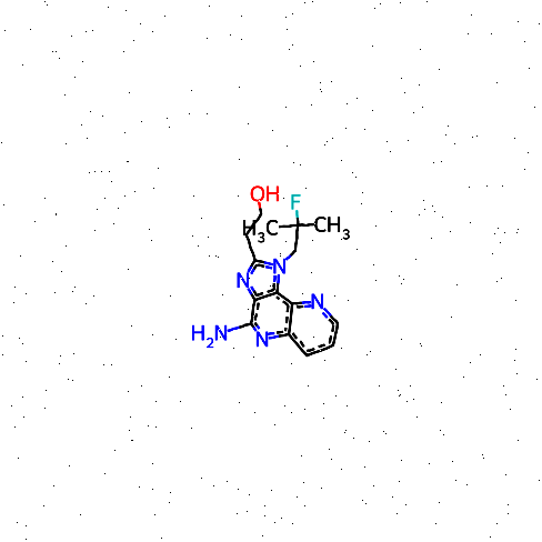 CC(C)(F)Cn1c(CCO)nc2c(N)nc3cccnc3c21